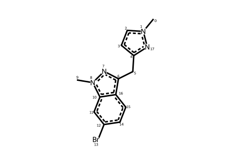 Cn1ccc(Cc2nn(C)c3cc(Br)ccc23)n1